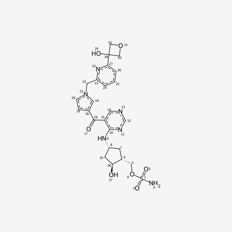 NS(=O)(=O)OC[C@H]1C[C@@H](Nc2ncncc2C(=O)c2ccn(Cc3cccc(C4(O)COC4)n3)c2)C[C@@H]1O